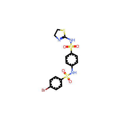 O=S(=O)(NC1=NCCS1)c1ccc(NS(=O)(=O)c2ccc(Br)cc2)cc1